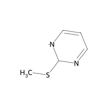 CSC1[N]C=CC=N1